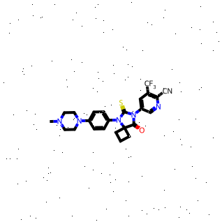 CN1CCN(c2ccc(N3C(=S)N(c4cnc(C#N)c(C(F)(F)F)c4)C(=O)C34CCC4)cc2)CC1